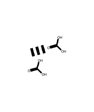 C=C.C=C.C=C.O=C(O)O.O=C(O)O